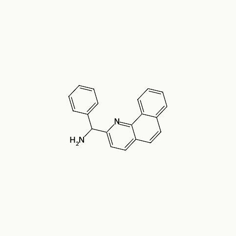 NC(c1ccccc1)c1ccc2ccc3ccccc3c2n1